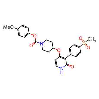 COc1ccc(OC(=O)N2CCC(Oc3cc[nH]c(=O)c3-c3ccc(S(C)(=O)=O)cc3)CC2)cc1